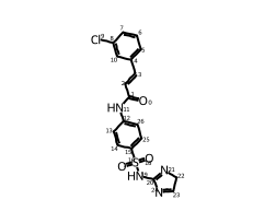 O=C(/C=C/c1cccc(Cl)c1)Nc1ccc(S(=O)(=O)NC2=NCC=N2)cc1